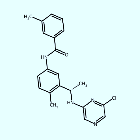 Cc1cccc(C(=O)Nc2ccc(C)c([C@H](C)Nc3cncc(Cl)n3)c2)c1